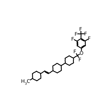 CC1CCC(/C=C/C2CCC(C3CCC(C(F)(F)Oc4cc(F)c(C(F)(F)F)c(F)c4)CC3)CC2)CC1